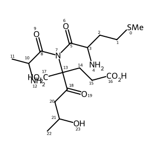 CSCCC(N)C(=O)N(C(=O)C(C)N)C(CCC(=O)O)(C(=O)O)C(=O)CC(C)O